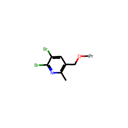 Cc1nc(Br)c(Br)cc1COC(C)C